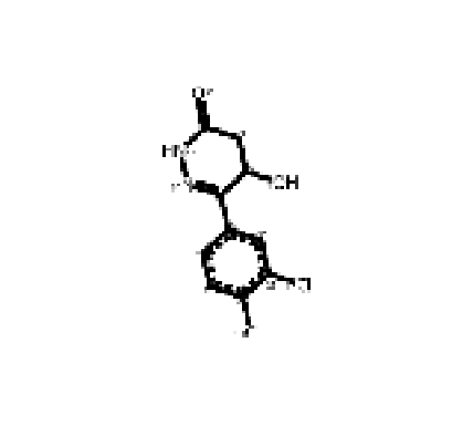 O=C1CC(O)C(c2ccc(Cl)c(Cl)c2)=NN1